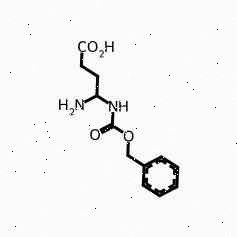 NC(CCC(=O)O)NC(=O)OCc1ccccc1